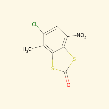 Cc1c(Cl)cc([N+](=O)[O-])c2sc(=O)sc12